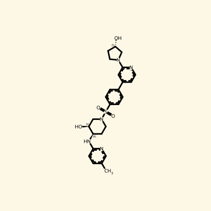 Cc1ccc(N[C@@H]2CCN(S(=O)(=O)c3ccc(-c4ccnc(N5CC[C@H](O)C5)c4)cc3)C[C@@H]2O)nc1